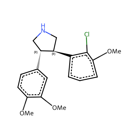 COc1ccc([C@@H]2CNC[C@H]2c2cccc(OC)c2Cl)cc1OC